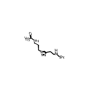 CC(C)NCCc1cn(CCCNC(=O)S)nn1